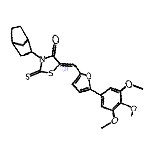 COc1cc(-c2ccc(/C=C3\SC(=S)N(C4CC5CCC4C5)C3=O)o2)cc(OC)c1OC